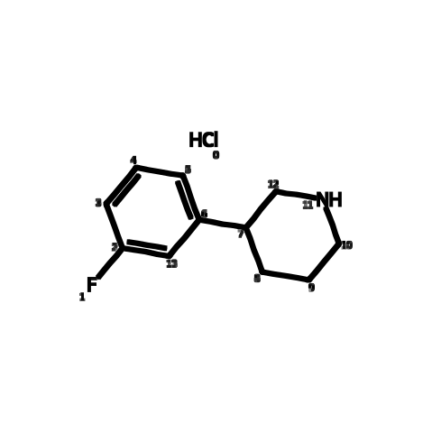 Cl.Fc1cccc(C2CCCNC2)c1